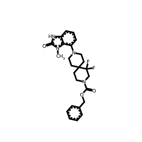 Cn1c(=O)[nH]c2cccc(N3CCC4(CCN(C(=O)OCc5ccccc5)CC4(F)F)CC3)c21